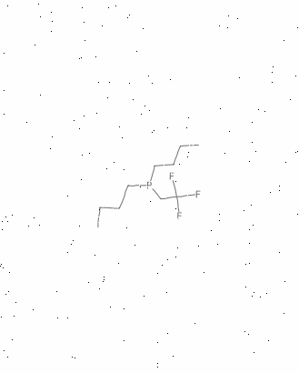 CCCCP(CCCC)CC(F)(F)F